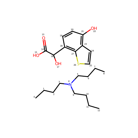 CCCCN(CCCC)CCCC.O=C(O)C(O)c1ccc(O)c2ccsc12